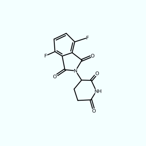 O=C1CCC(N2C(=O)c3c(F)ccc(F)c3C2=O)C(=O)N1